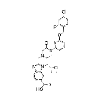 O=C(O)c1ccc2nc(CN3CCN(c4cccc(OCc5ccc(Cl)cc5F)n4)C(=O)C3)n(CC3CCO3)c2c1